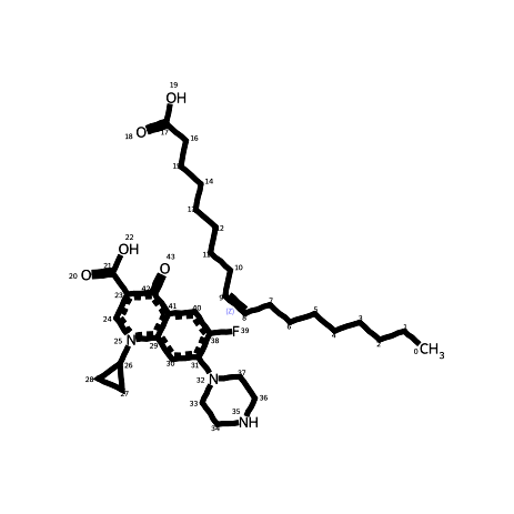 CCCCCCCC/C=C\CCCCCCCC(=O)O.O=C(O)c1cn(C2CC2)c2cc(N3CCNCC3)c(F)cc2c1=O